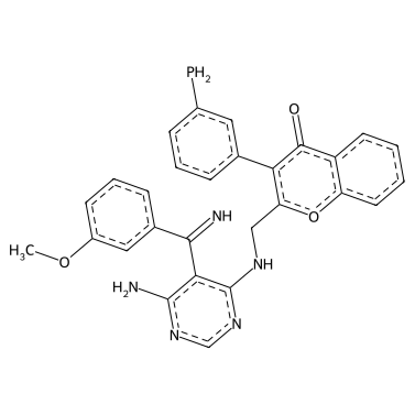 COc1cccc(C(=N)c2c(N)ncnc2NCc2oc3ccccc3c(=O)c2-c2cccc(P)c2)c1